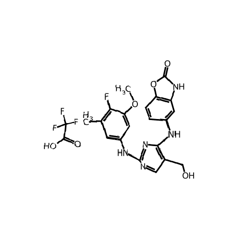 COc1cc(Nc2ncc(CO)c(Nc3ccc4oc(=O)[nH]c4c3)n2)cc(C)c1F.O=C(O)C(F)(F)F